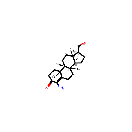 C[C@]12CCC(=O)C(N)=C1CC[C@@H]1[C@H]2CC[C@]2(C)C(CO)CC[C@@H]12